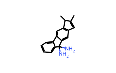 CC1=Cc2cc3c(cc2C1C)-c1ccccc1C3(N)N